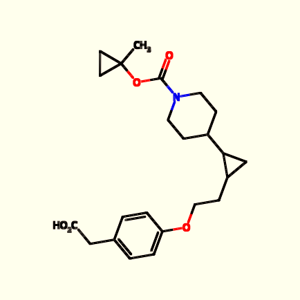 CC1(OC(=O)N2CCC(C3CC3CCOc3ccc(CC(=O)O)cc3)CC2)CC1